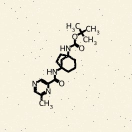 Cc1cncc(C(=O)NC23CCCC(NC(=O)OC(C)(C)C)(CC2)C3)n1